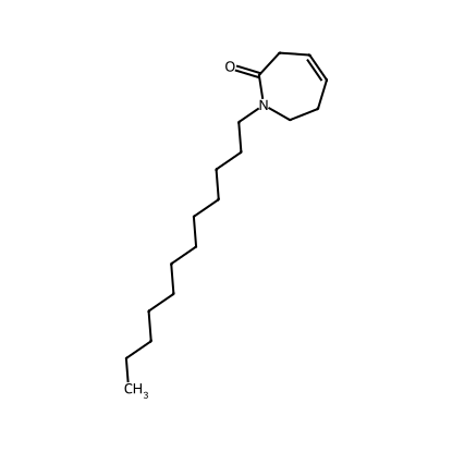 CCCCCCCCCCCCN1CCC=CCC1=O